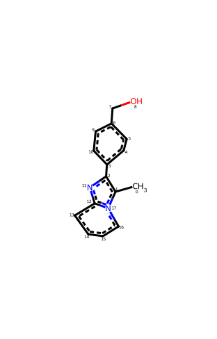 Cc1c(-c2ccc(CO)cc2)nc2ccccn12